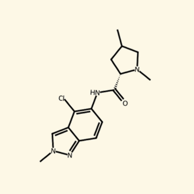 CC1C[C@@H](C(=O)Nc2ccc3nn(C)cc3c2Cl)N(C)C1